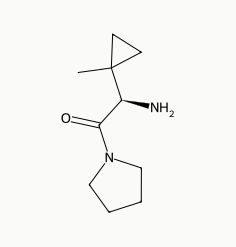 CC1([C@@H](N)C(=O)N2CCCC2)CC1